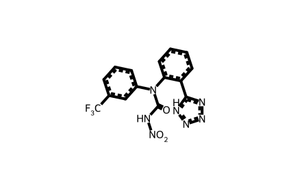 O=C(N[N+](=O)[O-])N(c1cccc(C(F)(F)F)c1)c1ccccc1-c1nnn[nH]1